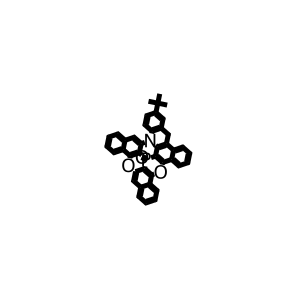 CC(C)(C)c1ccc2c(c1)Cc1c3c4c(c5ccccc15)Oc1c5c(cc6ccccc16)Oc1c(c(cc6ccccc16)N23)P54=O